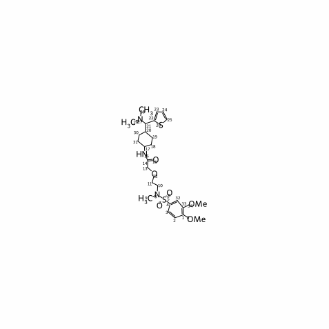 COc1ccc(S(=O)(=O)N(C)CCOCC(=O)NC2CCC(C(c3cccs3)N(C)C)CC2)cc1OC